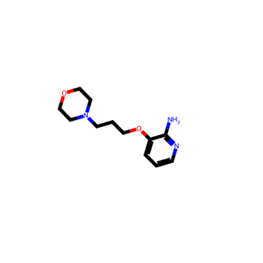 Nc1ncccc1OCCCN1CCOCC1